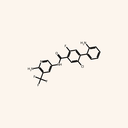 Nc1ccccc1-c1cc(F)c(C(=O)Nc2cnc(N)c(C(F)(F)F)c2)cc1Cl